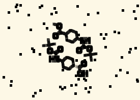 CC(C)(C)OC(=O)N[C@H]1CC[C@H](C(=O)O)CC1.COC(=O)C1CCC(NC(=O)OC(C)(C)C)CC1